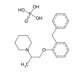 CC(COc1ccccc1Cc1ccccc1)N1CCCCC1.O=P(O)(O)O